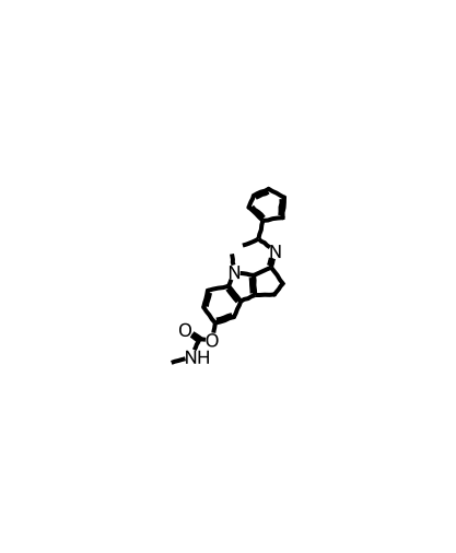 CNC(=O)Oc1ccc2c(c1)c1c(n2C)/C(=N\C(C)c2ccccc2)CC1